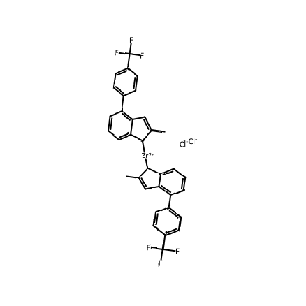 CC1=Cc2c(-c3ccc(C(F)(F)F)cc3)cccc2[CH]1[Zr+2][CH]1C(C)=Cc2c(-c3ccc(C(F)(F)F)cc3)cccc21.[Cl-].[Cl-]